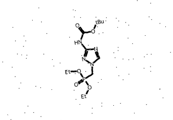 CCOP(=O)(Cn1cnc(NC(=O)OC(C)(C)C)n1)OCC